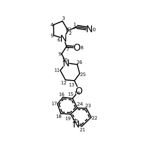 N#C[C@@H]1CCCN1C(=O)CN1CCC(Oc2cccc3ncccc23)CC1